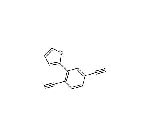 C#Cc1ccc(C#C)c(-c2cccs2)c1